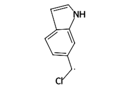 Cl[CH]c1ccc2cc[nH]c2c1